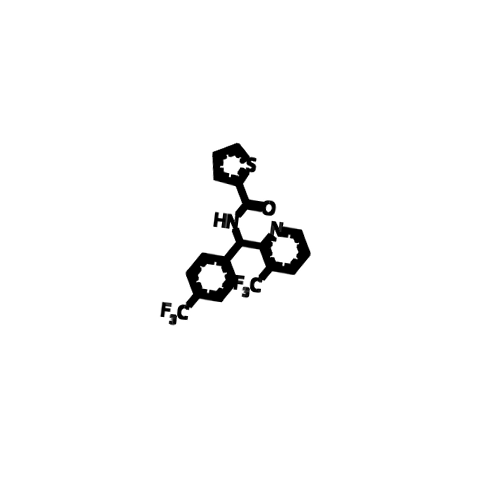 O=C(NC(c1ccc(C(F)(F)F)cc1)c1ncccc1C(F)(F)F)c1cccs1